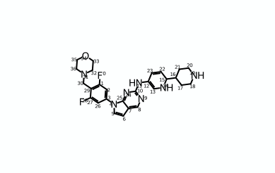 Fc1cc(-n2ccc3cnc(NC4=CNC(C5CCNCC5)C=C4)nc32)cc(F)c1CN1CCOCC1